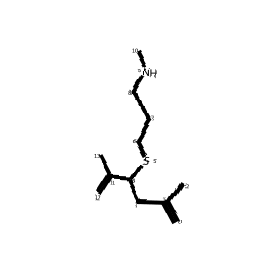 C=C(C)CC(SCCCNC)C(=C)C